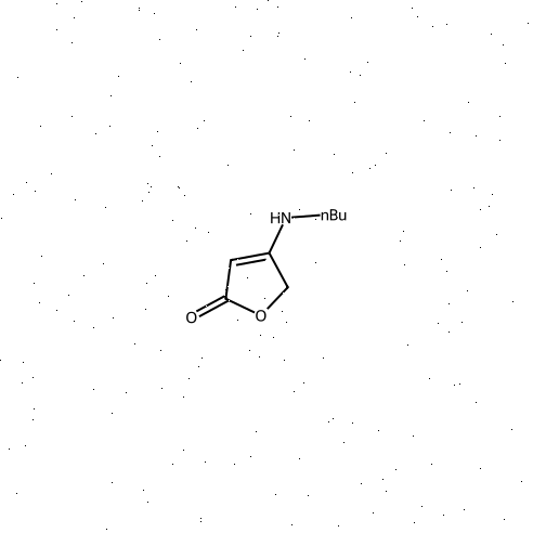 CCCCNC1=CC(=O)OC1